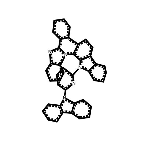 c1cc(-n2c3ccccc3c3ccccc32)nc(-n2c3ccccc3c3ccc4c5ccccc5c5nc6ccccc6n5c4c32)c1